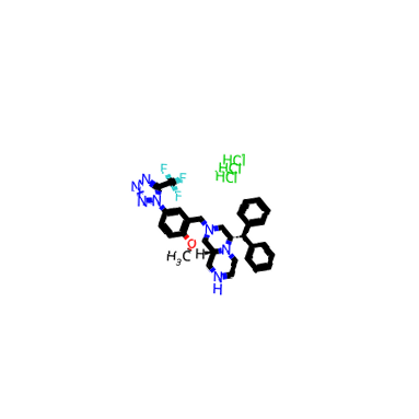 COc1ccc(-n2nnnc2C(F)(F)F)cc1CN1C[C@H]2CNCCN2[C@@H](C(c2ccccc2)c2ccccc2)C1.Cl.Cl.Cl